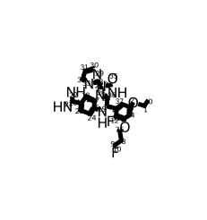 CCOc1cc(OCCCF)c(F)c(C(Nc2ccc(C(=N)N)cc2)c2nn(-c3ncccn3)c(=O)[nH]2)c1